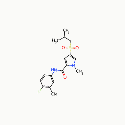 C[C@H](CS(=O)(=O)c1cc(C(=O)Nc2ccc(F)c(C#N)c2)n(C)c1)C(F)(F)F